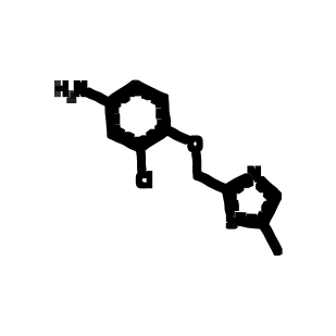 Cc1cnc(COc2ccc(N)cc2Cl)s1